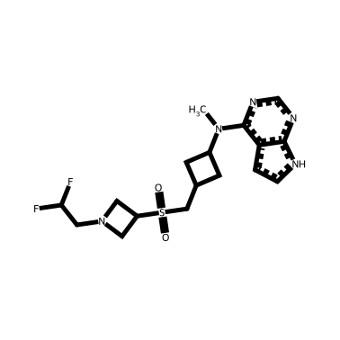 CN(c1ncnc2[nH]ccc12)C1CC(CS(=O)(=O)C2CN(CC(F)F)C2)C1